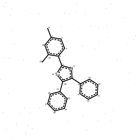 Cc1ccc(-c2nc(-c3ccccc3)c(-c3ccccc3)s2)c(C)c1